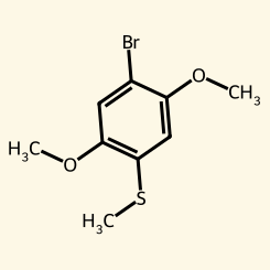 COc1cc(SC)c(OC)cc1Br